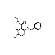 CCOC(=O)C1=C(NCc2ccccc2)CCC(=O)N1C